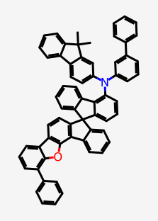 CC1(C)c2ccccc2-c2ccc(N(c3cccc(-c4ccccc4)c3)c3cccc4c3-c3ccccc3C43c4ccccc4-c4c3ccc3c4oc4c(-c5ccccc5)cccc43)cc21